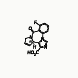 O=C(O)c1ncn2c1[C@H]1C=CCN1C(=O)c1c(F)cccc1-2